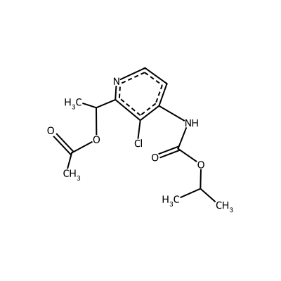 CC(=O)OC(C)c1nccc(NC(=O)OC(C)C)c1Cl